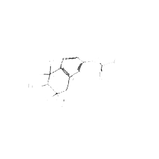 [2H]C1([2H])Cc2cc(OC(F)F)ccc2C([2H])([2H])C1C